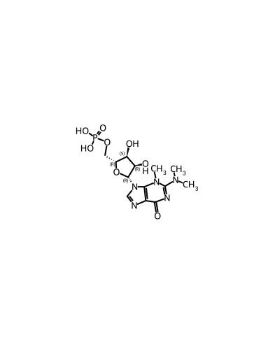 CN(C)c1nc(=O)c2ncn([C@@H]3O[C@H](COP(=O)(O)O)[C@@H](O)[C@H]3O)c2n1C